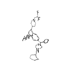 O=C(c1ccc2c(C3CCN(CC(F)F)CC3)c[nH]c2c1)N1CCN(C2CCCC2)CC1